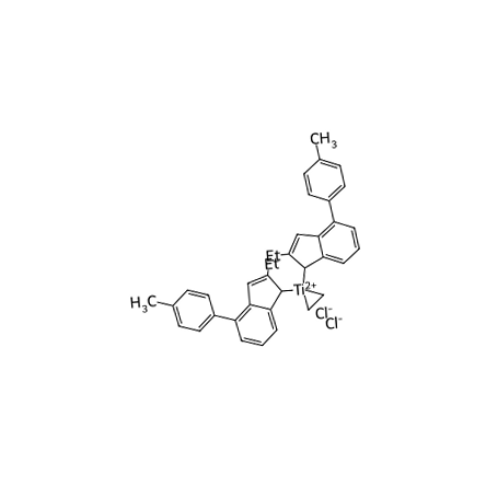 CCC1=Cc2c(-c3ccc(C)cc3)cccc2[CH]1[Ti+2]1([CH]2C(CC)=Cc3c(-c4ccc(C)cc4)cccc32)[CH2][CH2]1.[Cl-].[Cl-]